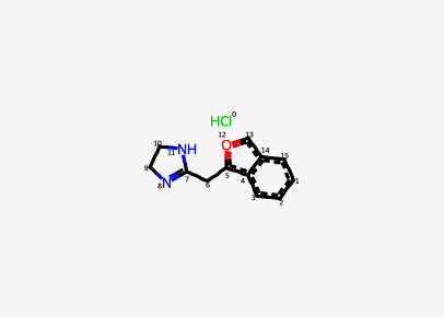 Cl.c1ccc2c(CC3=NCCN3)occ2c1